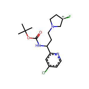 CC(C)(C)OC(=O)NC(CCN1CC[C@@H](F)C1)c1cc(Cl)ccn1